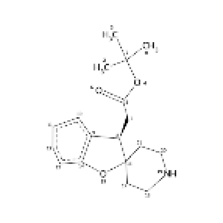 CC(C)(C)OC(=O)C[C@@H]1c2ccccc2OC12CCNCC2